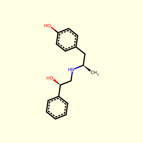 C[C@H](Cc1ccc(O)cc1)NC[C@H](O)c1ccccc1